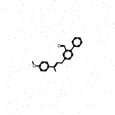 COc1ccc(C(C)=CCc2ccc(-c3ccccc3)c(C=O)c2)cc1